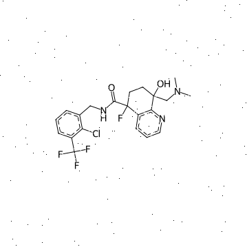 CN(C)CC1(O)CCC(F)(C(=O)NCc2cccc(C(F)(F)F)c2Cl)c2cccnc21